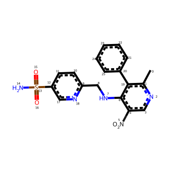 Cc1ncc([N+](=O)[O-])c(NCc2ccc(S(N)(=O)=O)cn2)c1-c1ccccc1